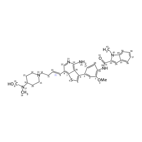 COc1cc(-c2csc3c(/C=C/CCN4CCC(N(C)C(=O)O)CC4)cnc(N)c23)ccc1NC(=O)c1cc2ccccc2n1C